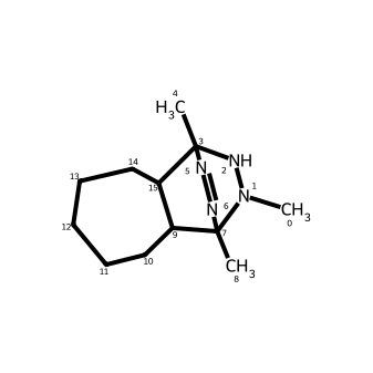 CN1NC2(C)N=NC1(C)C1CCCCCC12